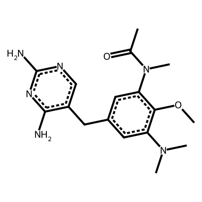 COc1c(N(C)C)cc(Cc2cnc(N)nc2N)cc1N(C)C(C)=O